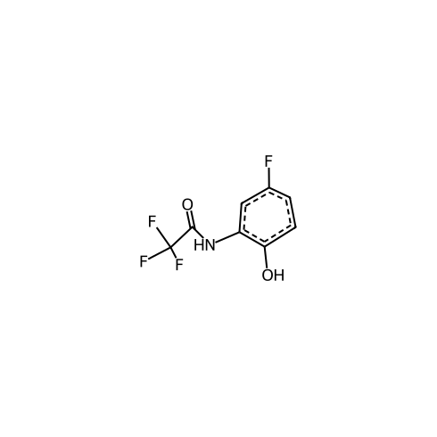 O=C(Nc1cc(F)ccc1O)C(F)(F)F